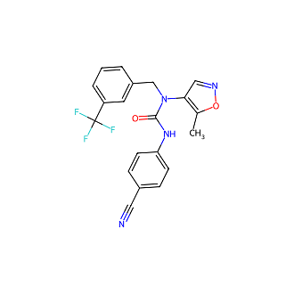 Cc1oncc1N(Cc1cccc(C(F)(F)F)c1)C(=O)Nc1ccc(C#N)cc1